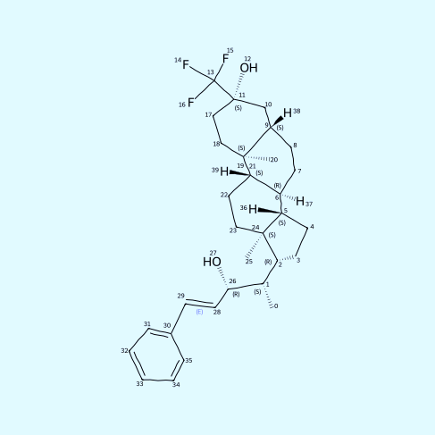 C[C@@H]([C@H]1CC[C@H]2[C@@H]3CC[C@H]4C[C@](O)(C(F)(F)F)CC[C@]4(C)[C@H]3CC[C@]12C)[C@@H](O)/C=C/c1ccccc1